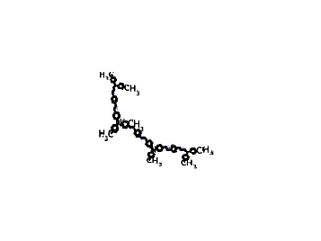 Cc1ccc(C(=C/C=C/c2ccc(/C=C/c3ccc(N(C4=CCC(C)(/C=C/c5ccc(/C=C/c6ccc(N(c7ccc(C)cc7)c7ccc(/C=C/c8ccc(/C=C/C=C(c9ccc(C)cc9)c9ccc(C)cc9)cc8)cc7)cc6)cc5)C=C4)c4ccc(C)cc4)cc3)cc2)c2ccc(C)cc2)cc1